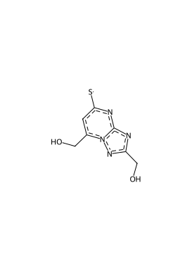 OCc1nc2nc([S])cc(CO)n2n1